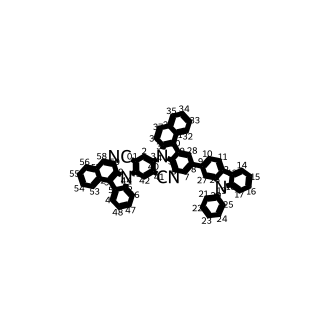 N#Cc1cc(-n2c3ccc(-c4ccc5c6ccccc6n(-c6ccccc6)c5c4)cc3c3c4ccccc4ccc32)c(C#N)cc1-n1c2ccccc2c2c3ccccc3ccc21